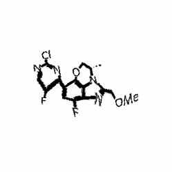 COCc1nc2c(F)cc(-c3nc(Cl)ncc3F)c3c2n1[C@@H](C)CO3